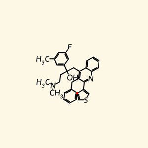 Cc1cc(F)cc(C(O)(CCN(C)C)Cc2c(Cc3ccccc3)c(-c3ccsc3)nc3ccccc23)c1